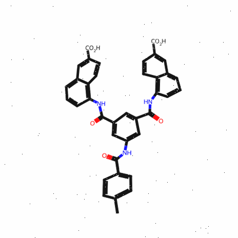 Cc1ccc(C(=O)Nc2cc(C(=O)Nc3cccc4cc(C(=O)O)ccc34)cc(C(=O)Nc3cccc4cc(C(=O)O)ccc34)c2)cc1